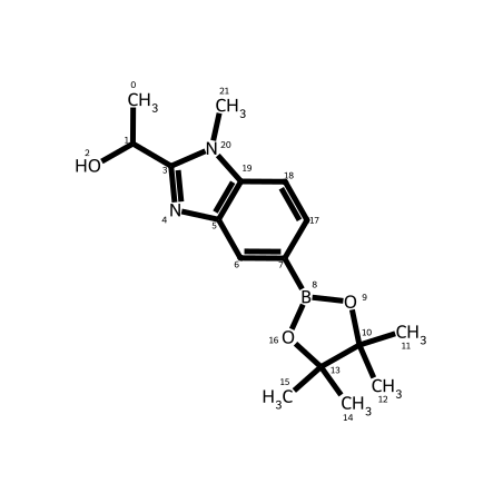 CC(O)c1nc2cc(B3OC(C)(C)C(C)(C)O3)ccc2n1C